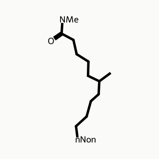 CCCCCCCCCCCCCC(C)CCCCC(=O)NC